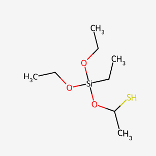 CCO[Si](CC)(OCC)OC(C)S